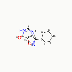 O=c1[nH]cnc2c(C3CCCCC3)noc12